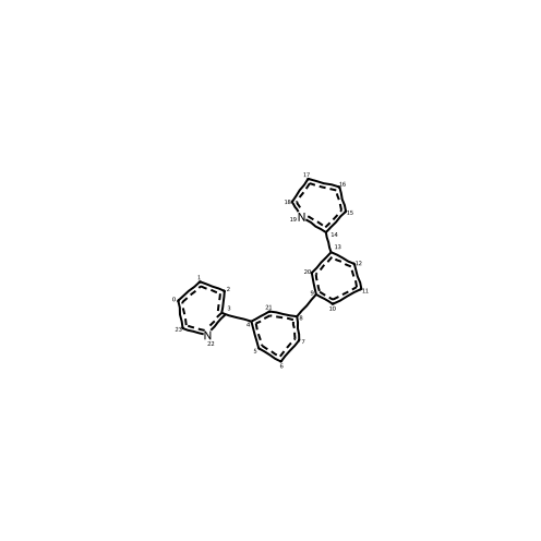 c1ccc(-c2cccc(-c3cccc(-c4ccccn4)c3)c2)nc1